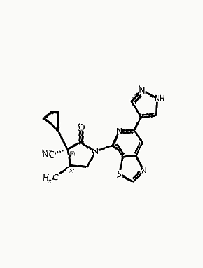 C[C@@H]1CN(c2nc(-c3cn[nH]c3)cc3ncsc23)C(=O)[C@]1(C#N)C1CC1